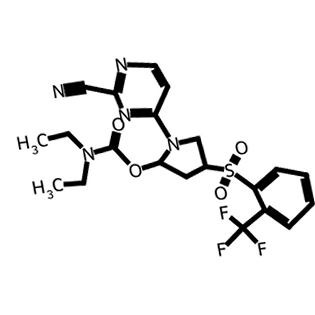 CCN(CC)C(=O)OC1CC(S(=O)(=O)c2ccccc2C(F)(F)F)CN1c1ccnc(C#N)n1